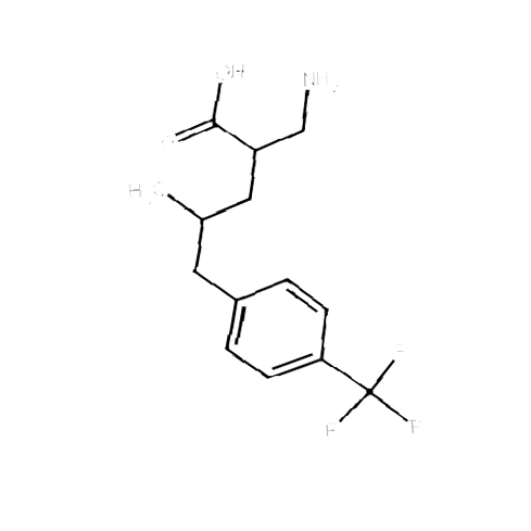 CC(Cc1ccc(C(F)(F)F)cc1)CC(CN)C(=O)O